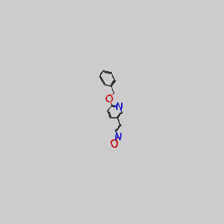 O=N/C=C/c1ccc(OCc2ccccc2)nc1